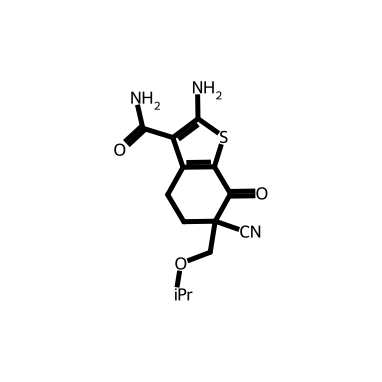 CC(C)OCC1(C#N)CCc2c(sc(N)c2C(N)=O)C1=O